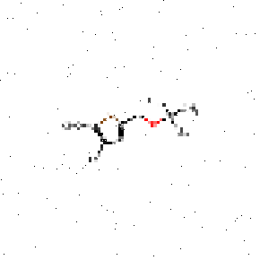 CCc1cc(CO[Si](C)(C)C(C)(C)C)sc1C=O